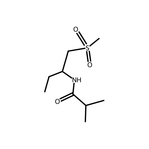 CCC(CS(C)(=O)=O)NC(=O)C(C)C